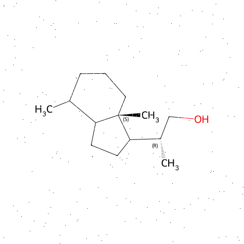 CC1CCC[C@@]2(C)C1CCC2[C@@H](C)CO